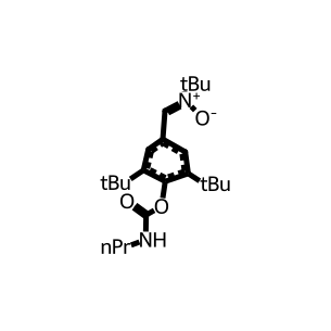 CCCNC(=O)Oc1c(C(C)(C)C)cc(C=[N+]([O-])C(C)(C)C)cc1C(C)(C)C